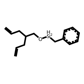 C=CCC(CC=C)CO[SiH2]Cc1ccccc1